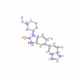 CCN1CCC[C@@H](n2c(=O)[nH]c3cc(-c4cc(C)c5ncnn5c4)c(C)cc32)C1